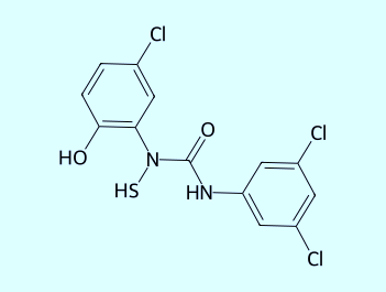 O=C(Nc1cc(Cl)cc(Cl)c1)N(S)c1cc(Cl)ccc1O